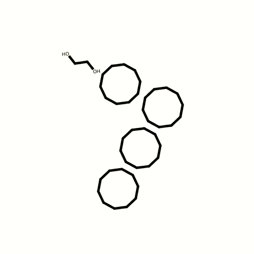 C1CCCCCCCCC1.C1CCCCCCCCC1.C1CCCCCCCCC1.C1CCCCCCCCC1.OCCO